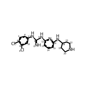 N=C(Nc1ccc(Cl)c(Cl)c1)Nc1cccc(NC2CCNCC2)n1